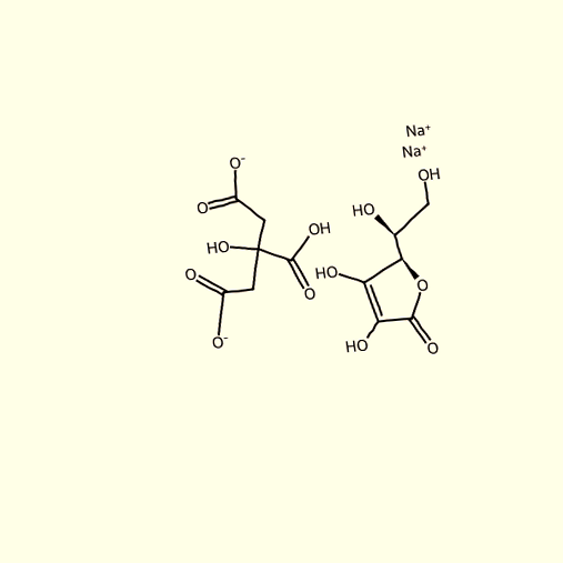 O=C([O-])CC(O)(CC(=O)[O-])C(=O)O.O=C1O[C@H]([C@@H](O)CO)C(O)=C1O.[Na+].[Na+]